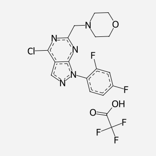 Fc1ccc(-n2ncc3c(Cl)nc(CN4CCOCC4)nc32)c(F)c1.O=C(O)C(F)(F)F